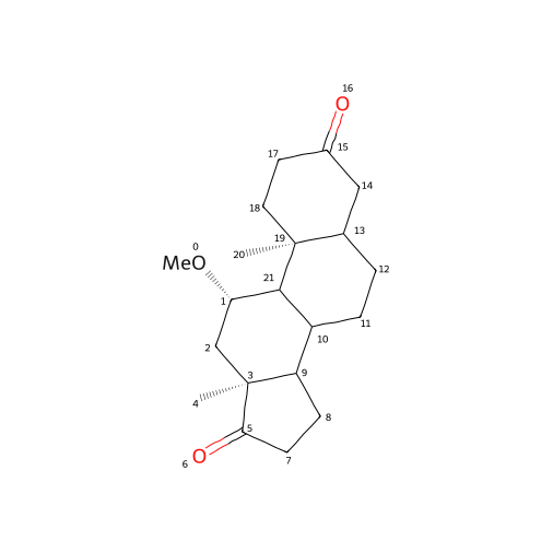 CO[C@H]1C[C@]2(C)C(=O)CCC2C2CCC3CC(=O)CC[C@]3(C)C21